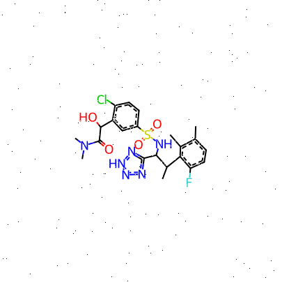 Cc1ccc(F)c(C(C)C(NS(=O)(=O)c2ccc(Cl)c(C(O)C(=O)N(C)C)c2)c2nn[nH]n2)c1C